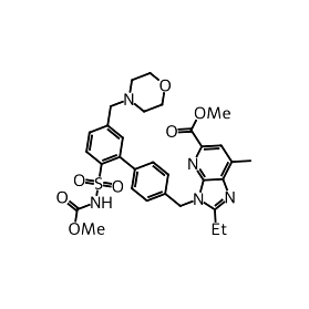 CCc1nc2c(C)cc(C(=O)OC)nc2n1Cc1ccc(-c2cc(CN3CCOCC3)ccc2S(=O)(=O)NC(=O)OC)cc1